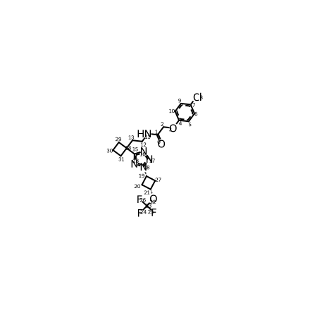 O=C(COc1ccc(Cl)cc1)NCCC1(c2nnn([C@H]3C[C@@H](OC(F)(F)F)C3)n2)CCC1